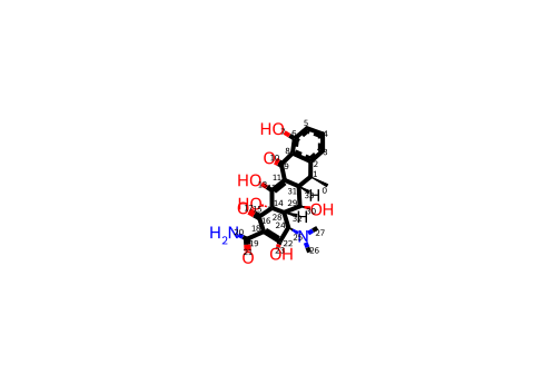 C[C@@H]1c2cccc(O)c2C(=O)C2=C(O)[C@]3(O)C(=O)C(C(N)=O)=C(O)[C@H](N(C)C)[C@H]3[C@H](O)[C@H]21